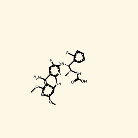 COc1cc(Nc2nc(N[C@H](c3ccccc3F)[C@H](C)NC(=O)O)c(F)cc2C(N)=O)cc(OC)n1